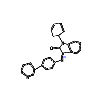 O=C1/C(=N\c2ccc(-c3cccnc3)cc2)c2ccccc2N1C1C=CC=CC1